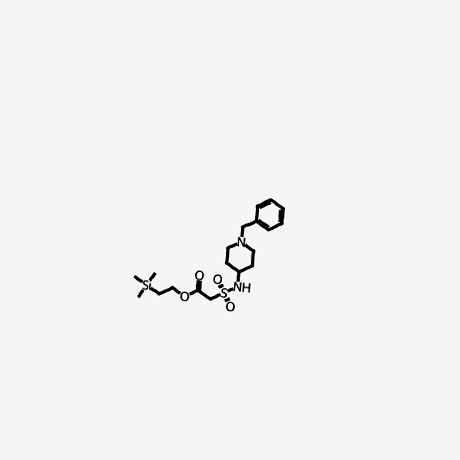 C[Si](C)(C)CCOC(=O)CS(=O)(=O)NC1CCN(Cc2ccccc2)CC1